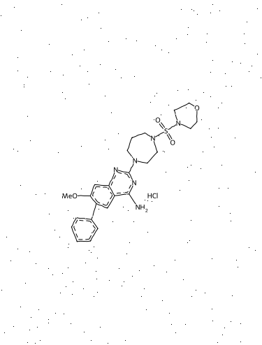 COc1cc2nc(N3CCCN(S(=O)(=O)N4CCOCC4)CC3)nc(N)c2cc1-c1ccccc1.Cl